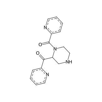 O=C(c1ccccn1)C1CNCCN1C(=O)c1ccccn1